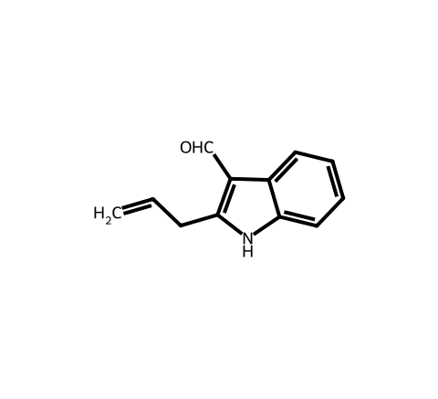 C=CCc1[nH]c2ccccc2c1C=O